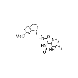 C=C1NC(=O)NC(C(=O)NCC[C@@H]2CCCc3ccc(OC)cc32)=C1N